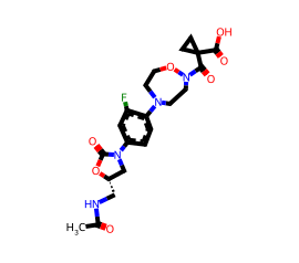 CC(=O)NC[C@H]1CN(c2ccc(N3CCON(C(=O)C4(C(=O)O)CC4)CC3)c(F)c2)C(=O)O1